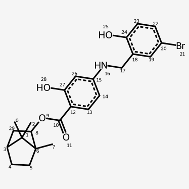 CC1(C)C2CCC1(C)C(OC(=O)c1ccc(NCc3cc(Br)ccc3O)cc1O)C2